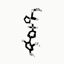 CC(C)(C)OC(=O)N1CCC[C@H]1CS(=O)(=O)c1ccc(-c2c(Cl)cc(N)cc2C(F)(F)F)cc1